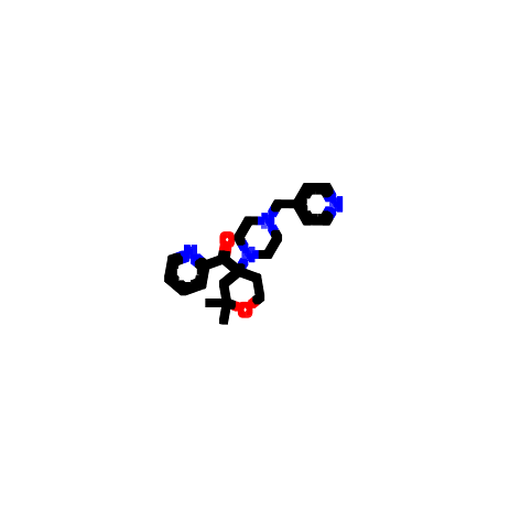 CC1(C)CC(C(=O)c2ccccn2)(N2CCN(Cc3ccncc3)CC2)CCO1